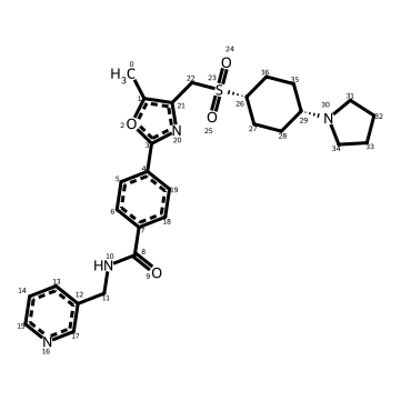 Cc1oc(-c2ccc(C(=O)NCc3cccnc3)cc2)nc1CS(=O)(=O)[C@H]1CC[C@@H](N2CCCC2)CC1